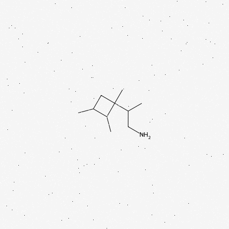 CC1CC(C)(C(C)CN)C1C